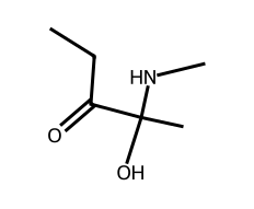 CCC(=O)C(C)(O)NC